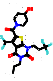 CCCn1c(=O)c2c(C(F)F)c(C(=O)N3CCC(O)CC3)sc2n(CCC(F)(F)F)c1=O